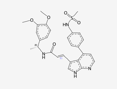 COc1ccc([C@@H](C)NC(=O)/C=C/c2c[nH]c3nccc(-c4ccc(NS(C)(=O)=O)cc4)c23)cc1OC